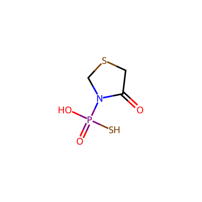 O=C1CSCN1P(=O)(O)S